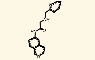 O=C(CNCc1ccccn1)Nc1ccc2cnccc2c1